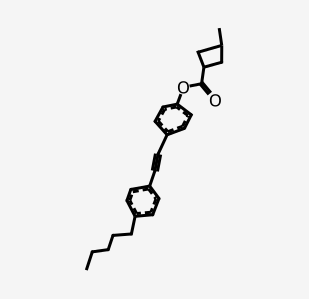 CCCCCc1ccc(C#Cc2ccc(OC(=O)C3CC(C)C3)cc2)cc1